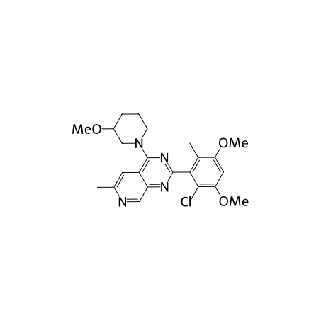 COc1cc(OC)c(Cl)c(-c2nc(N3CCCC(OC)C3)c3cc(C)ncc3n2)c1C